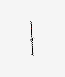 CCCCCCCCC=CCCCCCCCCCC(=O)OCCCCCCCCCCCCCCCC(C)C